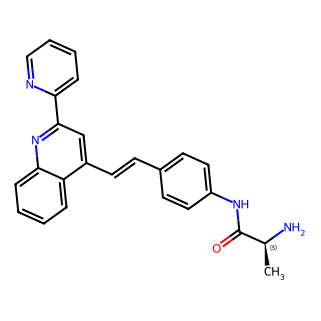 C[C@H](N)C(=O)Nc1ccc(C=Cc2cc(-c3ccccn3)nc3ccccc23)cc1